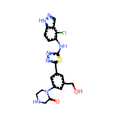 O=C1CNCCN1c1cc(CO)cc(-c2nnc(Nc3ccc4[nH]ncc4c3Cl)s2)c1